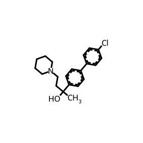 CC(O)(CCN1CCCCC1)c1ccc(-c2ccc(Cl)cc2)cc1